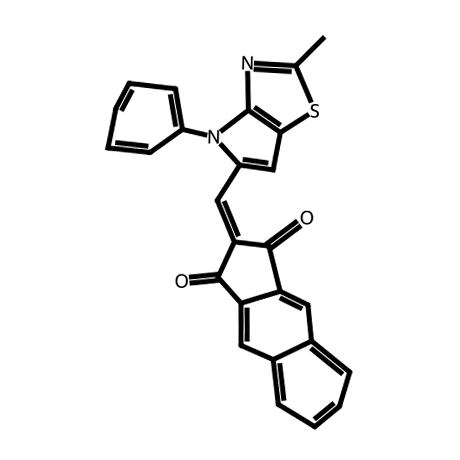 Cc1nc2c(cc(C=C3C(=O)c4cc5ccccc5cc4C3=O)n2-c2ccccc2)s1